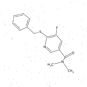 CN(C)C(=O)c1cnc(SCc2ccccc2)c(F)c1